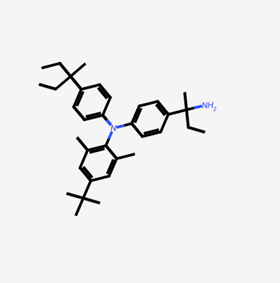 CCC(C)(N)c1ccc(N(c2ccc(C(C)(CC)CC)cc2)c2c(C)cc(C(C)(C)C)cc2C)cc1